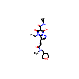 CC(C)Cn1c(=O)c(C(=O)NC2CC2)c(O)n2ncc(/C=C/C(=O)N(C)CC3CCOCC3)c12